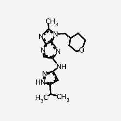 Cc1nc2ncc(Nc3cc(C(C)C)[nH]n3)nc2n1CC1CCOCC1